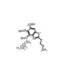 COc1cc2sc(CCC[SiH3])nc2c(OC)c1OC.S.S.S.S